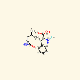 CC(C)CC1NC1=O.O=C(O)C(Cc1ccccc1)NF